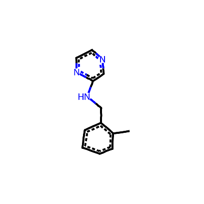 Cc1ccccc1CNc1cnccn1